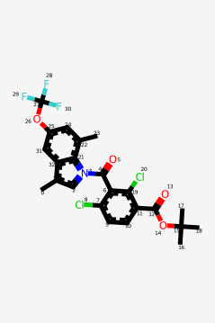 Cc1cn(C(=O)c2c(Cl)ccc(C(=O)OC(C)(C)C)c2Cl)c2c(C)cc(OC(F)(F)F)cc12